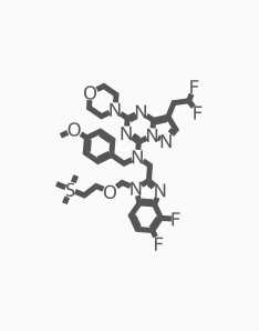 COc1ccc(CN(Cc2nc3c(F)c(F)ccc3n2COCCS(C)(C)C)c2nc(N3CCOCC3)nc3c(CC(F)F)cnn23)cc1